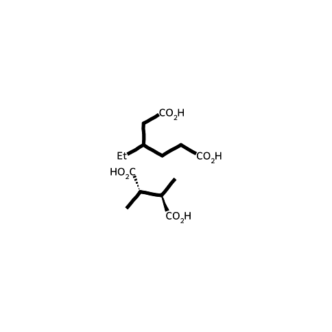 CCC(CCC(=O)O)CC(=O)O.C[C@H](C(=O)O)[C@@H](C)C(=O)O